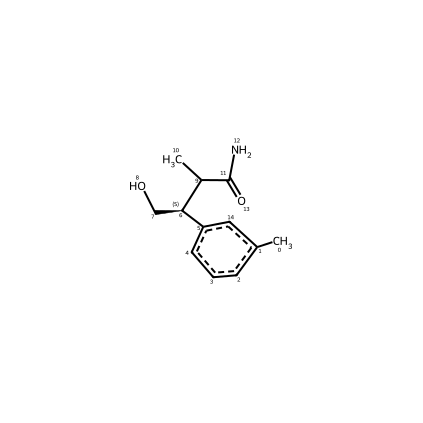 Cc1cccc([C@@H](CO)C(C)C(N)=O)c1